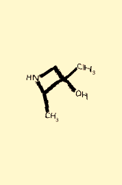 CC1NCC1(C)O